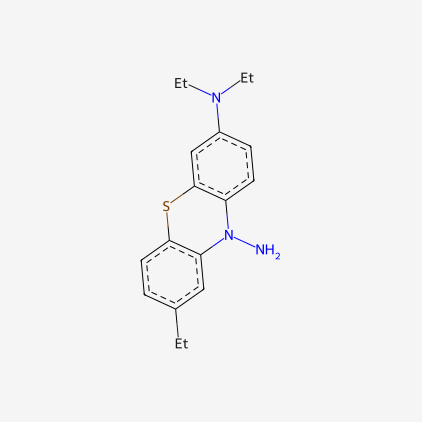 CCc1ccc2c(c1)N(N)c1ccc(N(CC)CC)cc1S2